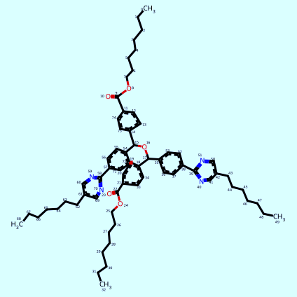 CCCCCCCCOC(=O)c1ccc(C(OC(c2ccc(C(=O)OCCCCCCCC)cc2)c2ccc(-c3ncc(CCCCCCC)cn3)cc2)c2ccc(-c3ncc(CCCCCCC)cn3)cc2)cc1